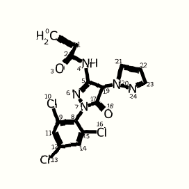 C=CC(=O)NC1=NN(c2c(Cl)cc(Cl)cc2Cl)C(=O)C1n1cccn1